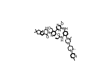 C=CC(=O)Nc1cc(Nc2nc(-c3ccnc(N4CCn5c(cc6c5CC(C)(C)C6)C4=O)c3CO)cnc2OC)ccc1N1CCN(C2CCN(c3ccc(C)nc3)[C@@H](C)C2)C[C@@H]1C